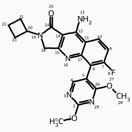 COc1ncc(-c2c(F)ccc3c(N)c4c(nc23)CN(C2CCC2)C4=O)c(OC)n1